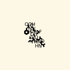 CC[C@H](C)C([C@@H](CC(=O)N1C[C@@H](F)C[C@H]1[C@H](OC)[C@@H](C)C(=O)N[C@@H](Cc1ccccc1)C(=O)O)OC)N(C)C(=O)[C@@H](NC(=O)C(NC)C(C)C)C(C)C